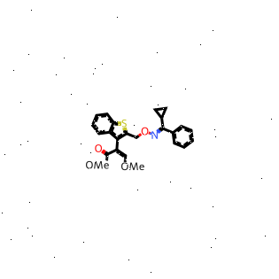 COC=C(C(=O)OC)c1c(CON=C(c2ccccc2)C2CC2)sc2ccccc12